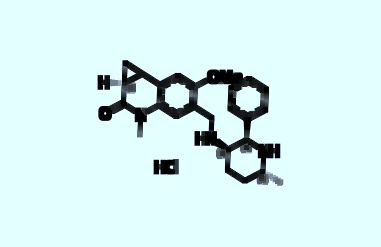 COc1cc2c(cc1CN[C@@H]1CC[C@@H](C)N[C@@H]1c1ccccc1)N(C)C(=O)[C@H]1CC21.Cl